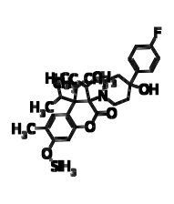 Cc1cc2c(cc1O[SiH3])OC(=O)C(C(C)C)(N1CCC(O)(c3ccc(F)cc3)CC1)C2(C(C)C)C(C)C